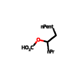 CCCCCCC(CCC)OC(=O)O